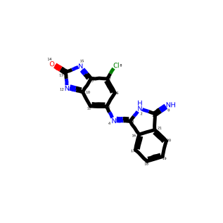 N=C1NC(=Nc2cc(Cl)c3c(c2)=NC(=O)N=3)c2ccccc21